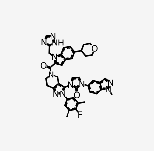 Cc1cc(-n2nc3c(c2-n2ccn(-c4ccc5c(cnn5C)c4)c2=O)CN(C(=O)c2cc4cc(C5CCOCC5)ccc4n2Cc2ncn[nH]2)CC3)cc(C)c1F